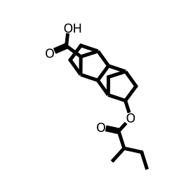 CCC(C)C(=O)OC1CC2CC1C1C3CCC(C3C(=O)O)C21